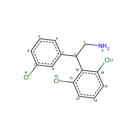 NCC(c1cccc(Cl)c1)c1c(Cl)cccc1Cl